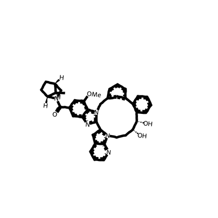 COc1cc(C(=O)N2C[C@H]3CC[C@@H]2[C@@H]3C)cc2nc3n(c12)Cc1cccc(c1)-c1ccccc1[C@H](O)[C@H](O)CCn1c-3cc2cccnc21